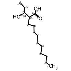 CCCCCCCCCCC(C(=O)O)[C@@H](O)CI